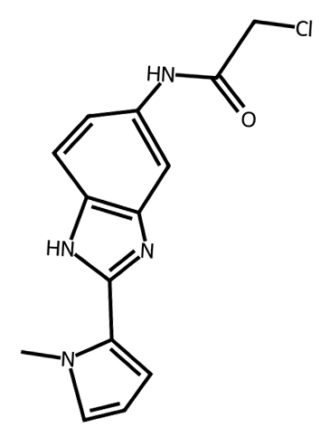 Cn1cccc1-c1nc2cc(NC(=O)CCl)ccc2[nH]1